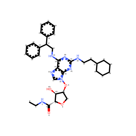 CCNC(=O)[C@H]1OC[C@H](On2cnc3c(NCC(c4ccccc4)c4ccccc4)nc(NCCC4CCCCC4)nc32)[C@@H]1O